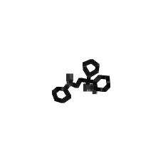 PC(CCPC1CCCCC1)(C1CCCCC1)C1CCCCC1